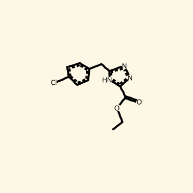 CCOC(=O)c1nnc(Cc2ccc(Cl)cc2)[nH]1